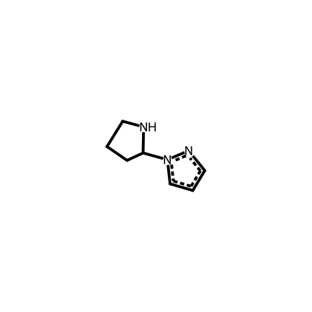 c1cnn(C2CCCN2)c1